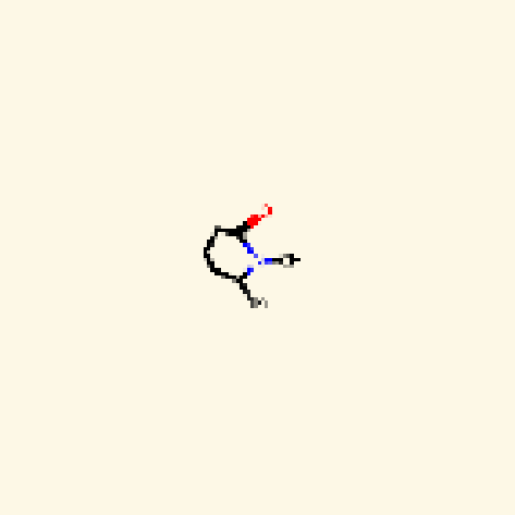 CC(C)C1CCCC(=O)N1C